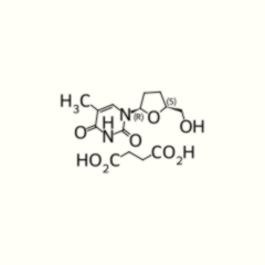 Cc1cn([C@H]2CC[C@@H](CO)O2)c(=O)[nH]c1=O.O=C(O)CCC(=O)O